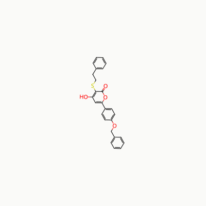 O=c1oc(-c2ccc(OCc3ccccc3)cc2)cc(O)c1SCCc1ccccc1